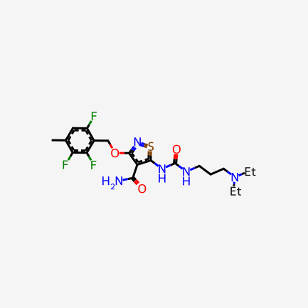 CCN(CC)CCCNC(=O)Nc1snc(OCc2c(F)cc(C)c(F)c2F)c1C(N)=O